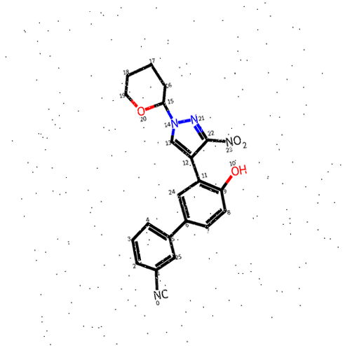 [C-]#[N+]c1cccc(-c2ccc(O)c(-c3cn(C4CCCCO4)nc3[N+](=O)[O-])c2)c1